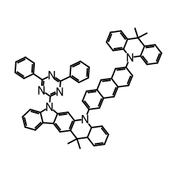 CC1(C)c2ccccc2N(c2ccc3cc4cc(N5c6cc7c(cc6C(C)(C)C6C=CC=CC65)c5ccccc5n7-c5nc(-c6ccccc6)nc(-c6ccccc6)n5)ccc4cc3c2)c2ccccc21